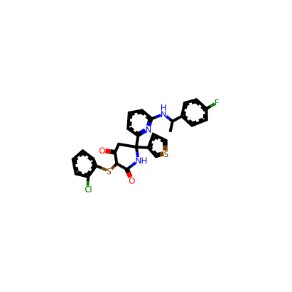 CC(Nc1cccc(C2(c3ccsc3)CC(=O)C(Sc3ccccc3Cl)C(=O)N2)n1)c1ccc(F)cc1